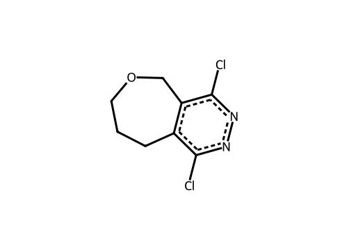 Clc1nnc(Cl)c2c1CCCOC2